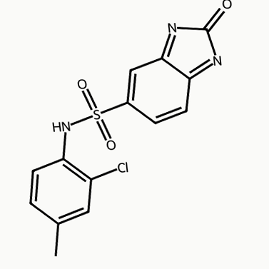 Cc1ccc(NS(=O)(=O)c2ccc3c(c2)=NC(=O)N=3)c(Cl)c1